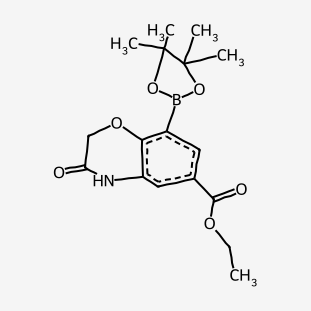 CCOC(=O)c1cc2c(c(B3OC(C)(C)C(C)(C)O3)c1)OCC(=O)N2